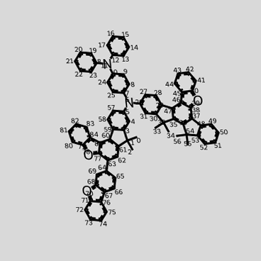 CC1(C)c2cc(N(c3ccc(N(c4ccccc4)c4ccccc4)cc3)c3ccc4c(c3)C(C)(C)c3c5c(c6oc7ccccc7c6c3-4)-c3ccccc3C5(C)C)ccc2-c2c1cc(-c1ccc3c(c1)oc1ccccc13)c1oc3ccccc3c21